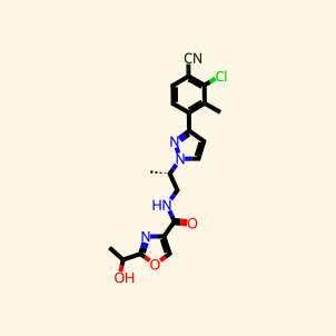 Cc1c(-c2ccn([C@@H](C)CNC(=O)c3coc(C(C)O)n3)n2)ccc(C#N)c1Cl